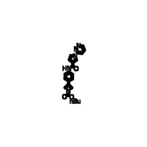 CCCCOC(=O)N1CC(c2ccc(NC(=O)C3CCN(c4cccnn4)C3)cc2)C1